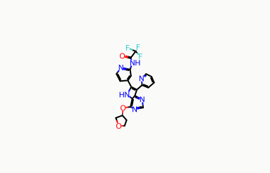 O=C(Nc1cc(-c2[nH]c3c(O[C@H]4CCOC4)ncnc3c2-c2ccccn2)ccn1)C(F)(F)F